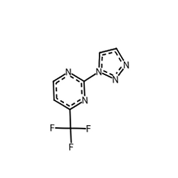 FC(F)(F)c1ccnc(-n2ccnn2)n1